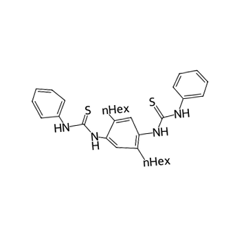 CCCCCCc1cc(NC(=S)Nc2ccccc2)c(CCCCCC)cc1NC(=S)Nc1ccccc1